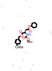 COc1ccc(COC(=O)[C@@H](CC(=O)OC2CCCCC2)NC(=O)OC(C)(C)C)cc1